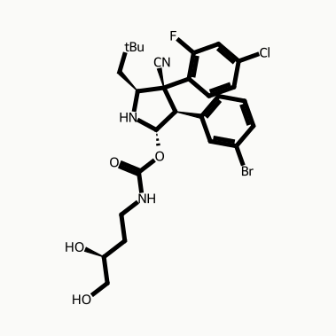 CC(C)(C)C[C@@H]1N[C@@H](OC(=O)NCC[C@H](O)CO)[C@H](c2cccc(Br)c2)[C@@]1(C#N)c1ccc(Cl)cc1F